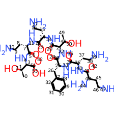 C[C@@H](O)[C@H](NC(=O)[C@H](CCN)NC(=O)[C@H](CCN)NC(=O)[C@@H](NC(=O)[C@@H](Cc1ccccc1)NC(=O)[C@H](CCN)NC(=O)[C@@H](N)CCN)[C@@H](C)O)C(=O)O